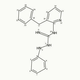 N=C(NNc1ccccc1)Nc1ncccc1Cc1ccccc1